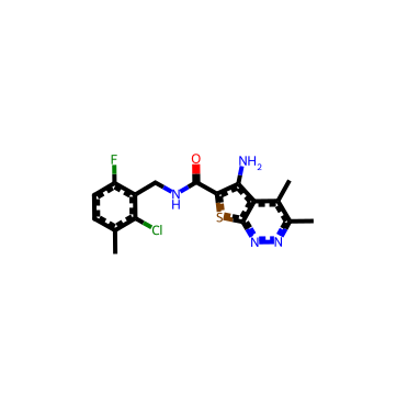 Cc1ccc(F)c(CNC(=O)c2sc3nnc(C)c(C)c3c2N)c1Cl